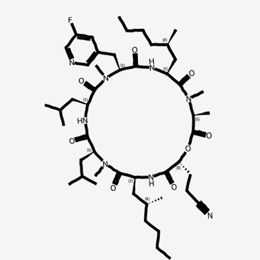 CCCC[C@@H](C)C[C@@H]1NC(=O)[C@H](Cc2cncc(F)c2)N(C)C(=O)[C@H](CC(C)C)NC(=O)[C@H](CC(C)C)N(C)C(=O)[C@H](C[C@H](C)CCCC)NC(=O)[C@@H](CCC#N)OC(=O)[C@H](C)N(C)C1=O